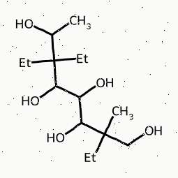 CCC(C)(CO)C(O)C(O)C(O)C(CC)(CC)C(C)O